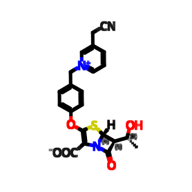 C[C@@H](O)[C@H]1C(=O)N2C(C(=O)[O-])=C(Oc3ccc(C[n+]4cccc(CC#N)c4)cc3)S[C@H]12